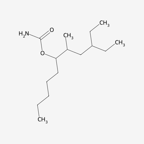 CCCCCC(OC(N)=O)C(C)CC(CC)CC